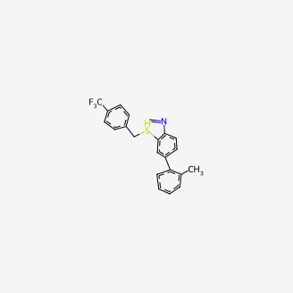 Cc1ccccc1-c1ccc2c(c1)[SH](Cc1ccc(C(F)(F)F)cc1)C=N2